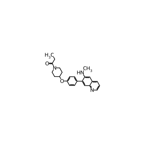 CCC(=O)N1CCC(Oc2ccc(-c3cc4ncccc4cc3NC)cc2)CC1